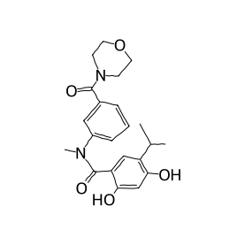 CC(C)c1cc(C(=O)N(C)c2cccc(C(=O)N3CCOCC3)c2)c(O)cc1O